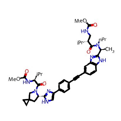 CCCN(C(=O)[C@@H](CNC(=O)OC)C(C)C)[C@@H](C)c1nc2cc(C#Cc3ccc(-c4c[nH]c([C@@H]5CC6(CC6)CN5C(=O)[C@@H](NC(=O)OC)C(C)C)n4)cc3)ccc2[nH]1